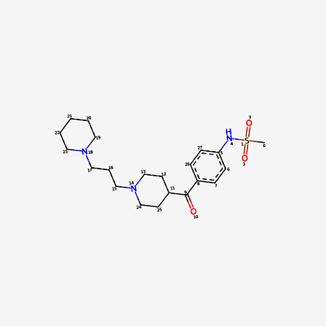 CS(=O)(=O)Nc1ccc(C(=O)C2CCN(CCCN3CCCCC3)CC2)cc1